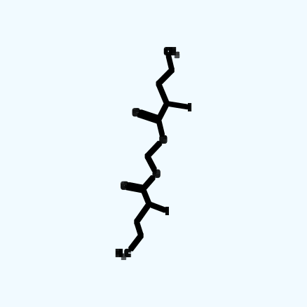 CCCC(I)C(=O)OCOC(=O)C(I)CCC